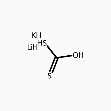 OC(=S)S.[KH].[LiH]